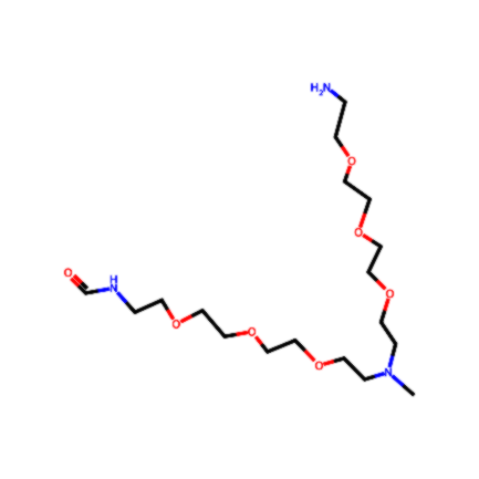 CN(CCOCCOCCOCCN)CCOCCOCCOCCNC=O